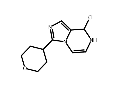 ClC1NC=Cn2c1cnc2C1CCOCC1